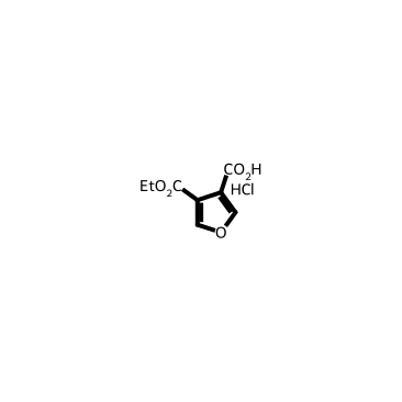 CCOC(=O)c1cocc1C(=O)O.Cl